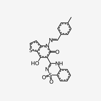 Cc1ccc(C=Nn2c(=O)c(C3=NS(=O)(=O)c4ccccc4N3)c(O)c3sccc32)cc1